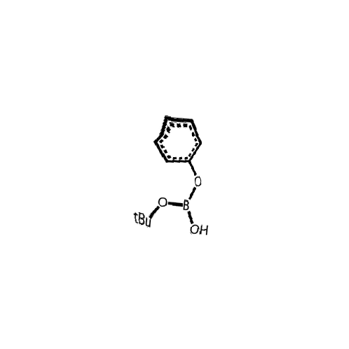 CC(C)(C)OB(O)Oc1ccccc1